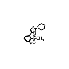 CS(=O)(=O)c1c(F)cccc1-c1csc(N2CCCCC2)n1